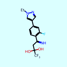 CCn1cc(-c2ccc(C(=N)CC(O)(O)C(F)(F)F)c(F)c2)cn1